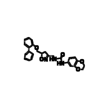 O=C(NCC1=NOC(COc2ccccc2-c2ccccc2)C1)Nc1ccc2c(c1)OCCO2